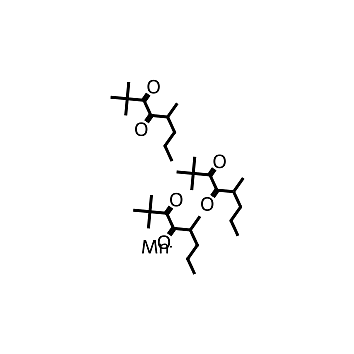 CCCC(C)C(=O)C(=O)C(C)(C)C.CCCC(C)C(=O)C(=O)C(C)(C)C.CCCC(C)C(=O)C(=O)C(C)(C)C.[Mn]